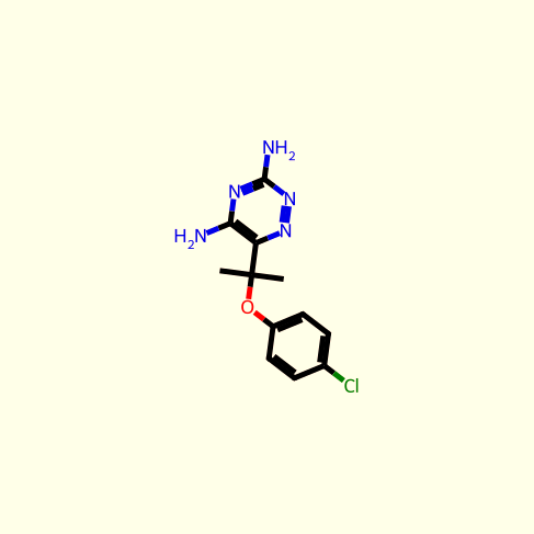 CC(C)(Oc1ccc(Cl)cc1)c1nnc(N)nc1N